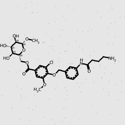 COc1cc(C(=O)OC[C@H]2O[C@@H](OC)[C@H](O)[C@@H](O)[C@@H]2O)cc(Cl)c1OCc1cccc(NC(=O)CCCN)c1